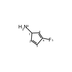 NC1C=CC(F)=C1